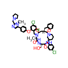 C[C@H]1C(=O)N[C@@H](CO)C(=O)N[C@@]2(Cc3ccc(Cl)cc3)CCCN(C2)C(=O)[C@H](Cc2ccccc2)CC(=O)N1Cc1c(F)cc(Cl)cc1Oc1ccc(-c2cnc(CN3CCCC3)n2C)cc1